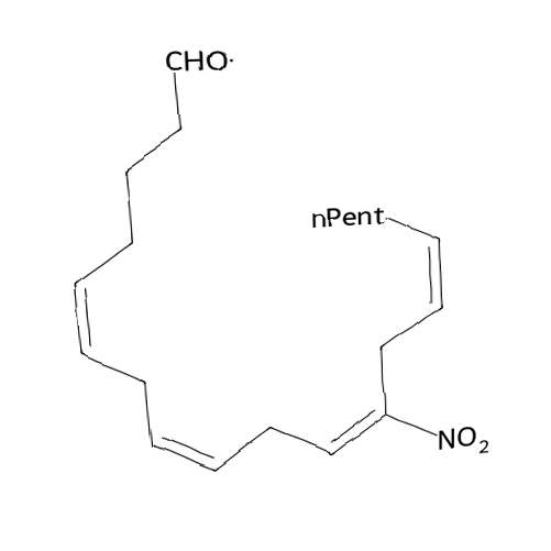 CCCCC/C=C\C/C(=C\C/C=C\C/C=C\CCC[C]=O)[N+](=O)[O-]